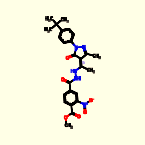 COC(=O)c1ccc(C(=O)NN/C(C)=C2\C(=O)N(c3ccc(C(C)(C)C)cc3)N=C2C)cc1[N+](=O)[O-]